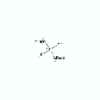 CCCCC[Si](F)(F)CCCCC